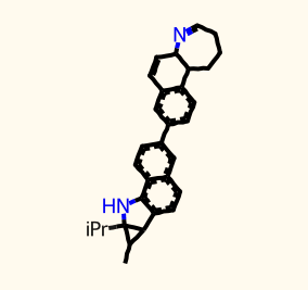 CC(C)C12Nc3c(ccc4cc(-c5ccc6c(c5)C=CC5N=CCCCC65)ccc34)C1C2C